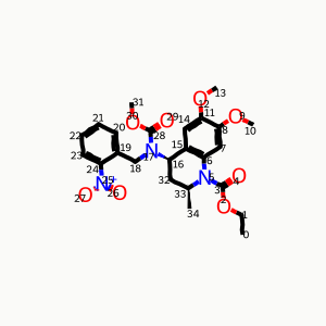 CCOC(=O)N1c2cc(OC)c(OC)cc2[C@H](N(Cc2ccccc2[N+](=O)[O-])C(=O)OC)C[C@@H]1C